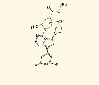 CC1CN(C(=O)OC(C)(C)C)[C@@H](C)CN1c1ncnc2c1c(N1CCC1)cn2-c1cc(F)cc(F)c1